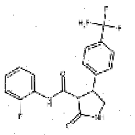 O=C1NCC(c2ccc(C(F)(F)P)cc2)C1C(=O)Nc1ccccc1F